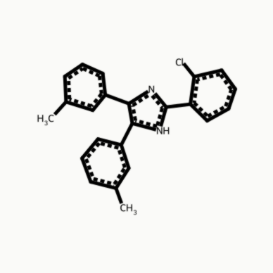 Cc1cccc(-c2nc(-c3ccccc3Cl)[nH]c2-c2cccc(C)c2)c1